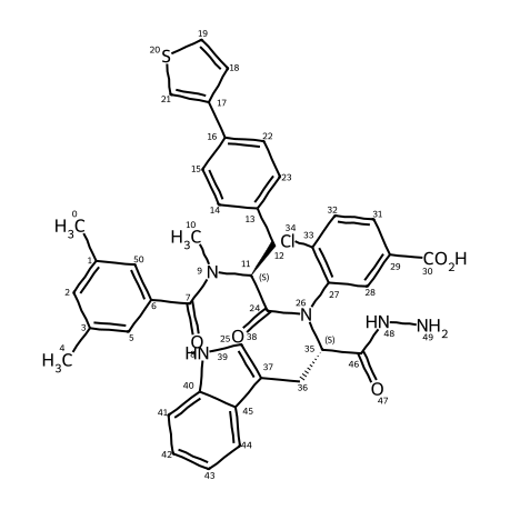 Cc1cc(C)cc(C(=O)N(C)[C@@H](Cc2ccc(-c3ccsc3)cc2)C(=O)N(c2cc(C(=O)O)ccc2Cl)[C@@H](Cc2c[nH]c3ccccc23)C(=O)NN)c1